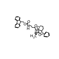 COC(=O)C1(NC(=O)CCNC(=O)OCC2c3ccccc3-c3ccccc32)OCCCC1Oc1ccccc1